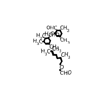 CC(C)=CCCC(C)CCOCC=O.CC1=CC(C)C(C)C(C=O)C1.CC1=CC(C)C(C=O)C(C)C1